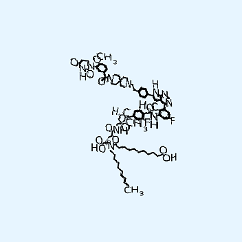 CCCCCCCCCCCN(C(=O)CCCCCCCCCC(=O)O)[C@@H](CCC(=O)NCC(=O)OC(C)(C)c1ccc(C(=O)Nc2cc(F)cc(-c3ncnc4[nH]c(-c5ccc(CCN6CCC7(CC6)CCN(C(=O)c6ccc(OC)c(N8CCC(=O)NC8=O)c6)CC7)cc5)cc34)c2C)c(F)c1)C(=O)O